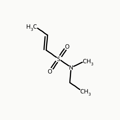 CC=CS(=O)(=O)N(C)CC